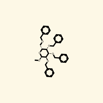 CO[C@H]1O[C@H](COCc2ccccc2)[C@H](OCc2ccccc2)[C@H](OCc2ccccc2)[C@H]1OCc1ccccc1